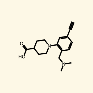 C#Cc1ccc(CN(C)C)c(N2CCC(C(=O)O)CC2)c1